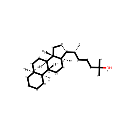 C[C@H](CCCC(C)(C)O)[C@H]1CC[C@H]2[C@@H]3CC[C@@H]4CCCC[C@]4(C)[C@H]3CC[C@]12C